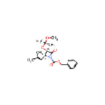 COC(C)(C)O[C@H]1C(=O)N(C(=O)OCc2ccccc2)[C@H]1C=C(C)C